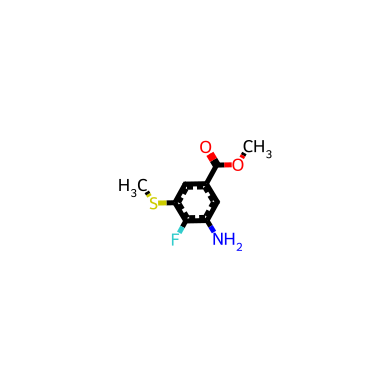 COC(=O)c1cc(N)c(F)c(SC)c1